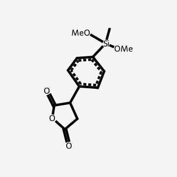 CO[Si](C)(OC)c1ccc(C2CC(=O)OC2=O)cc1